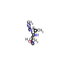 Cc1cc(C)cc(C2Nc3sc(C(C)(C)C(=O)N4C5CCC4CC5)cc3C2CCN2CCC(N3CCN(C)CC3)C2)c1